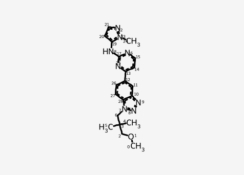 COCC(C)(C)Cn1nnc2cc(-c3ccnc(Nc4ccnn4C)n3)ccc21